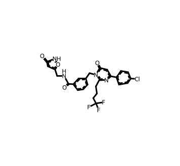 O=C(NCc1cc(=O)[nH]o1)c1cccc(Cn2c(CCCC(F)(F)F)nc(-c3ccc(Cl)cc3)cc2=O)c1